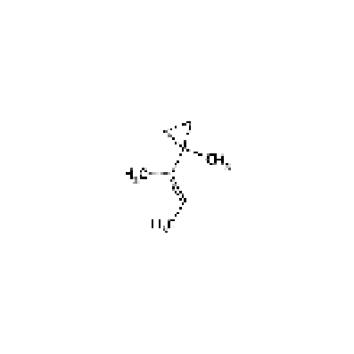 CC=C(C)C1(C)CC1